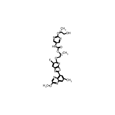 COc1cnc2c(-c3nc4cc(F)c(OC[C@@H](C)OC(=O)Nc5cnc(O[C@H](C)CO)nc5)nc4s3)cc(C)cc2n1